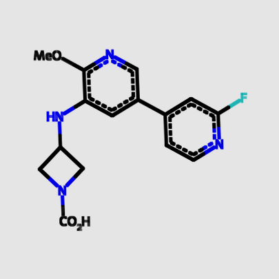 COc1ncc(-c2ccnc(F)c2)cc1NC1CN(C(=O)O)C1